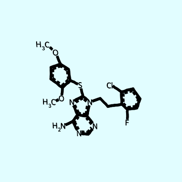 COc1ccc(OC)c(Sc2nc3c(N)ncnc3n2CCc2c(F)cccc2Cl)c1